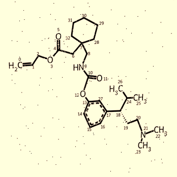 C=CCOC(=O)CC1(CNC(=O)Oc2cccc([C@@H](CCN(C)C)C(C)C)c2)CCCCC1